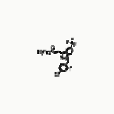 COC(=O)C=Cc1nn(Cc2ccc(Cl)cc2F)c2ccc(C(F)(F)F)cc12